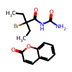 CCC(Br)(CC)C(=O)NC(N)=O.O=c1ccc2ccccc2o1